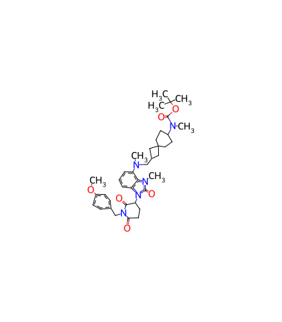 COc1ccc(CN2C(=O)CCC(n3c(=O)n(C)c4c(N(C)CC5CC6(CCC(N(C)C(=O)OC(C)(C)C)CC6)C5)cccc43)C2=O)cc1